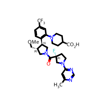 COC[C@H]1CN(C(=O)[C@@]2(F)CCN(c3cc(C)ncn3)C2)C[C@@H]1c1ccc(C(F)(F)F)cc1N1CCC(C(=O)O)CC1